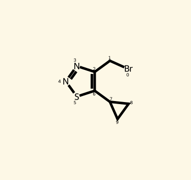 BrCc1nnsc1C1CC1